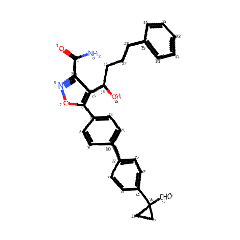 NC(=O)c1noc(-c2ccc(-c3ccc(C4([C]=O)CC4)cc3)cc2)c1C(O)CCCc1ccccc1